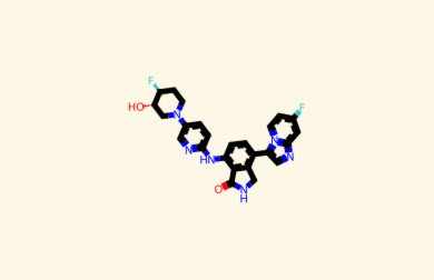 O=C1NCc2c(-c3cnc4cc(F)ccn34)ccc(Nc3ccc(N4CC[C@H](F)[C@@H](O)C4)cn3)c21